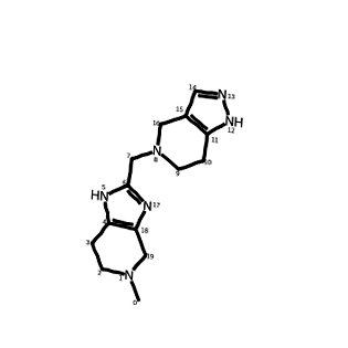 CN1CCc2[nH]c(CN3CCc4[nH]ncc4C3)nc2C1